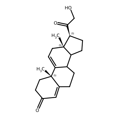 C[C@]12CCC(=O)C=C1CCC1C2=CC[C@@]2(C)C1CC[C@@H]2C(=O)CO